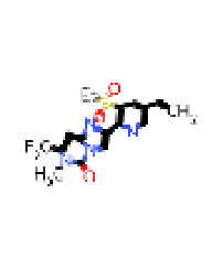 C=Cc1cnc(-c2cn3c(=O)n(C)c(C(F)(F)F)cc3n2)c(S(=O)(=O)CC)c1